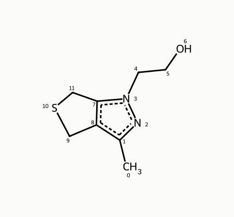 Cc1nn(CCO)c2c1CSC2